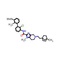 CNc1cccc(-c2cccc(NC(=O)c3nc4c(n3C)CCN(CCC35CCC(C)(CC3)C5)C4)c2Cl)c1C